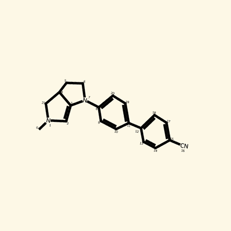 CN1C=C2C(CCN2c2ccc(-c3ccc(C#N)cc3)cc2)C1